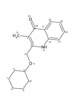 Cc1c(COC2CCCCC2)[nH]c2ccccc2c1=O